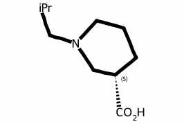 CC(C)CN1CCC[C@H](C(=O)O)C1